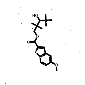 COc1ccc2sc(C(=O)OCC(C)(C)C(O)C(C)(C)C)cc2c1